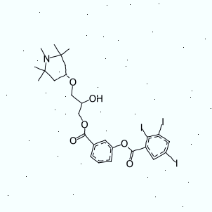 CN1C(C)(C)CC(OCC(O)COC(=O)c2cccc(OC(=O)c3cc(I)cc(I)c3I)c2)CC1(C)C